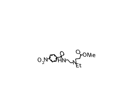 CCN(CCNC(=O)c1ccc([N+](=O)[O-])cc1)CCC(=O)OC